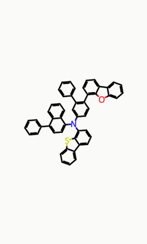 c1ccc(-c2cc(N(c3ccc(-c4ccccc4)c4ccccc34)c3cccc4c3sc3ccccc34)ccc2-c2cccc3c2oc2ccccc23)cc1